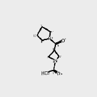 O=C(O)N1CC(C(=O)N2CCCC2)C1